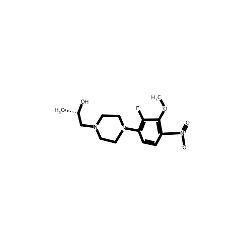 COc1c([N+](=O)[O-])ccc(N2CCN(C[C@H](C)O)CC2)c1F